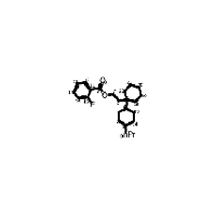 CCCC1CCC(C2(CCOC(=O)c3ccccc3F)CCCCC2)CC1